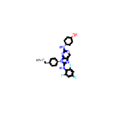 COC[C@H]1CC[C@@H](n2c(Nc3c(F)cc(F)cc3F)nc3cnc(N[C@H]4CC[C@H](O)CC4)nc32)CC1